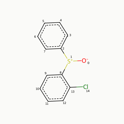 [O-][S+](c1[c]cccc1)c1ccccc1Cl